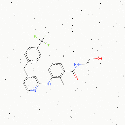 Cc1c(Nc2cc(Cc3ccc(C(F)(F)F)cc3)ccn2)cccc1C(=O)NCCO